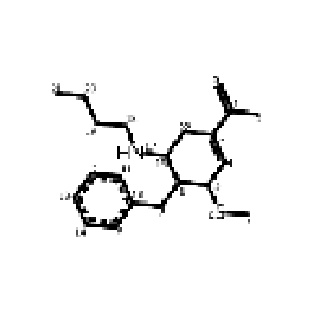 C=C(C)C1=CC(SC)C(Cc2ccccc2)C(NCCCC)C1